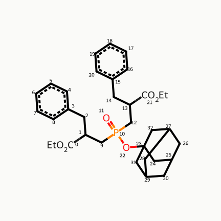 CCOC(=O)C(Cc1ccccc1)CP(=O)(CC(Cc1ccccc1)C(=O)OCC)OC12CC3CC(CC(C3)C1)C2